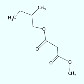 CCC(C)COC(=O)CC(=O)OC